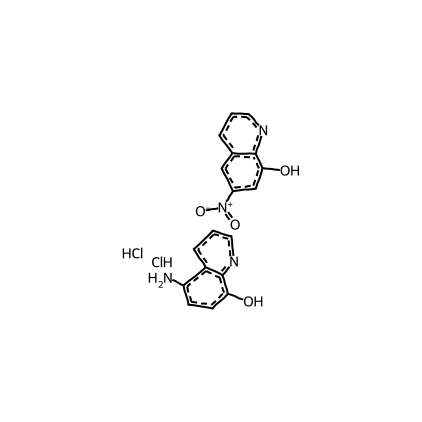 Cl.Cl.Nc1ccc(O)c2ncccc12.O=[N+]([O-])c1cc(O)c2ncccc2c1